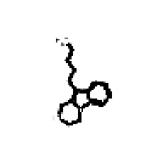 CCCCCc1c2n(c3ccccc13)CCNC2